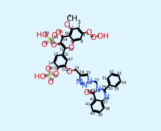 COc1cc(OOO)cc2oc(-c3ccc(OS(=O)(=O)O)c(OCc4cn(Cn5c(-c6ccccc6)nc6ccccc6c5=O)nn4)c3)c(OS(=O)(=O)O)c(=O)c12